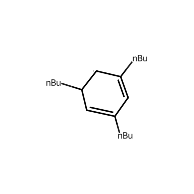 CCCCC1=CC(CCCC)=CC(CCCC)[CH]1